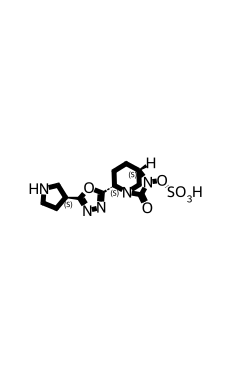 O=C1N2C[C@H](CC[C@H]2c2nnc([C@H]3CCNC3)o2)N1OS(=O)(=O)O